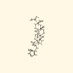 C[C@]12CC[C@H]3[C@@H](CC[C@H]4C[C@@](O)(C(F)F)CC[C@@H]43)[C@@H]1CC[C@@H]2C(=O)Cc1cnc[nH]1